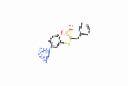 O=S(=O)=C(Cc1ccccc1)Sc1cccc(-n2cnnn2)c1